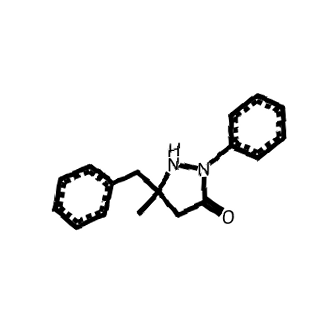 CC1(Cc2ccccc2)CC(=O)N(c2ccccc2)N1